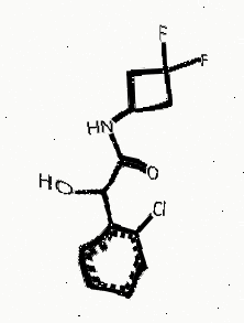 O=C(NC1CC(F)(F)C1)C(O)c1ccccc1Cl